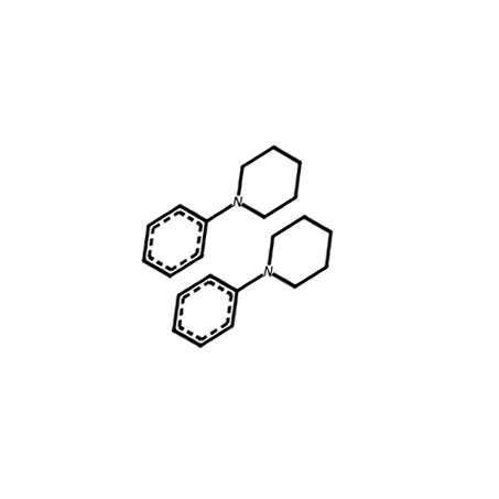 c1ccc(N2CCCCC2)cc1.c1ccc(N2CCCCC2)cc1